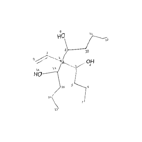 C=C[Si](C(O)CCC)(C(O)CCC)C(O)CCC